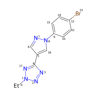 CCn1nnc(-c2cnn(-c3ccc(Br)cc3)c2)n1